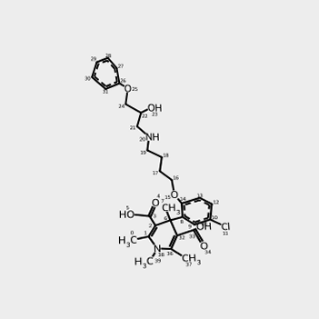 CC1=C(C(=O)O)C(C)(c2cc(Cl)ccc2OCCCCNCC(O)COc2ccccc2)C(C(=O)O)=C(C)N1C